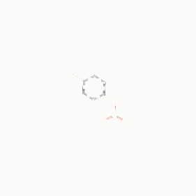 O=[SH](=O)Oc1ccc(Cl)cc1